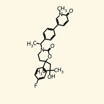 C[C@@H](c1ccc(-c2ccc(=O)n(C)c2)cc1)N1CCC(CC(C)(C)O)(c2ccc(F)cc2)OC1=O